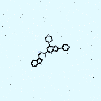 C(=N/Nc1cc(N2CCOCC2)n2nc(-c3ccncc3)cc2n1)/c1csc2ccccc12